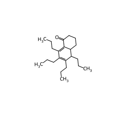 CCCC1=C(CCC)C(CCC)C2CCCC(=O)C2=C1CCC